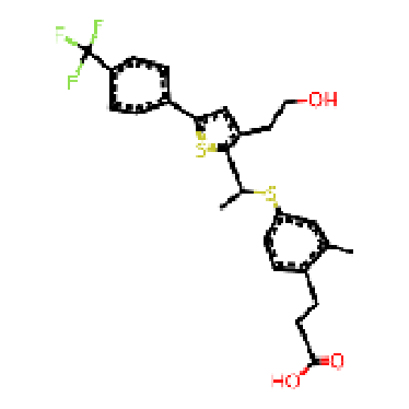 Cc1cc(SC(C)c2sc(-c3ccc(C(F)(F)F)cc3)cc2CCO)ccc1CCC(=O)O